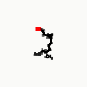 CC(=O)OC[C@@H](C)CCCC1C[C@H]1CCO